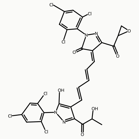 CC(O)C(=O)c1nn(-c2c(Cl)cc(Cl)cc2Cl)c(O)c1/C=C/C=C/C=C1\C(=O)N(c2c(Cl)cc(Cl)cc2Cl)N=C1C(=O)C1CO1